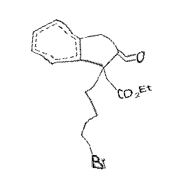 CCOC(=O)C1(CCCBr)C(=O)Cc2ccccc21